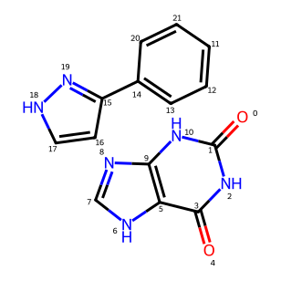 O=c1[nH]c(=O)c2[nH]cnc2[nH]1.c1ccc(-c2cc[nH]n2)cc1